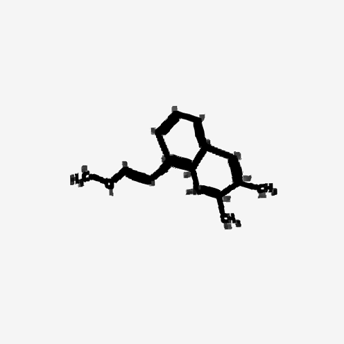 COC=Cc1cccc2cc(C)c(C)nc12